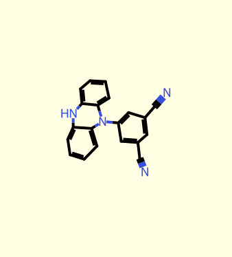 N#Cc1cc(C#N)cc(N2c3ccccc3Nc3ccccc32)c1